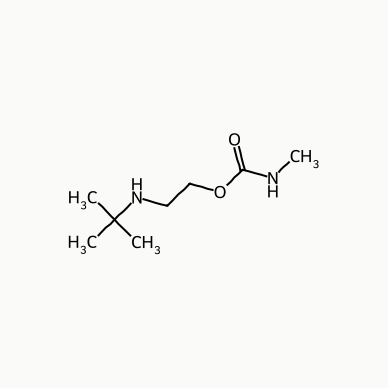 CNC(=O)OCCNC(C)(C)C